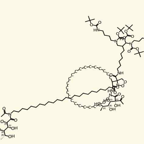 CCCCN(C(=O)OC(C)(C)C)C(NC(=O)OC(C)(C)C)C(CCCCCCNC(=O)C1(C2CCCCCCCCCCCCCCCCCCCCCCOON(C(=O)[C@@](O)(C(C)=O)[C@@H](O)[C@H](O)[C@@H](C)O)NC2=O)COON1C(=O)CCCCCCCCCCCCCCCCCCCCCCCN(C(C)=O)C(=O)[C@H](O)[C@@H](O)[C@H](O)[C@@H](C)O)CN(CCCCNC(=O)OC(C)(C)C)C(=O)OC(C)(C)C